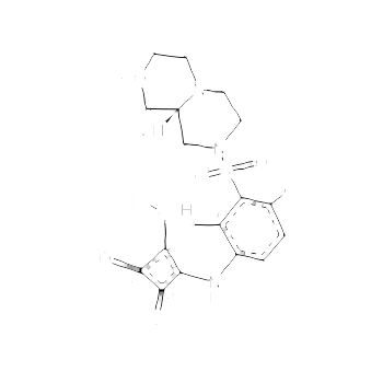 CCOc1c(Nc2ccc(Cl)c(S(=O)(=O)N3CCN4CCOC[C@H]4C3)c2O)c(=O)c1=O